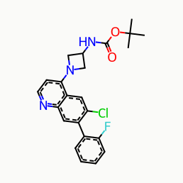 CC(C)(C)OC(=O)NC1CN(c2ccnc3cc(-c4ccccc4F)c(Cl)cc23)C1